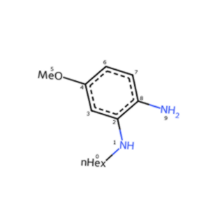 CCCCCCNc1cc(OC)ccc1N